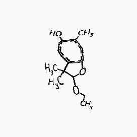 CCOC1Oc2cc(C)c(O)cc2C1(C)C